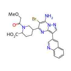 COCC(=O)N1CC(c2nc3c(-c4cnc5ccccc5c4)cnn3c(N)c2Br)CCC1C(=O)O